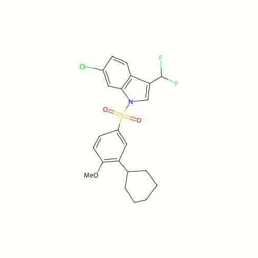 COc1ccc(S(=O)(=O)n2cc(C(F)F)c3ccc(Cl)cc32)cc1C1CCCCC1